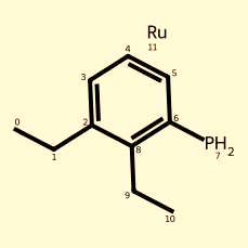 CCc1cccc(P)c1CC.[Ru]